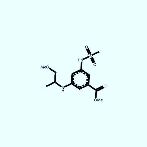 COCC(C)Nc1cc(NS(C)(=O)=O)cc(C(=O)OC)c1